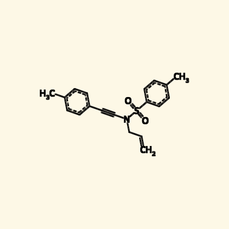 C=CCN(C#Cc1ccc(C)cc1)S(=O)(=O)c1ccc(C)cc1